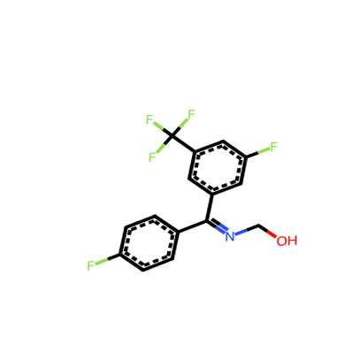 OC/N=C(/c1ccc(F)cc1)c1cc(F)cc(C(F)(F)F)c1